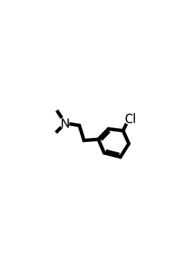 CN(C)CCC1=CC(Cl)CC=C1